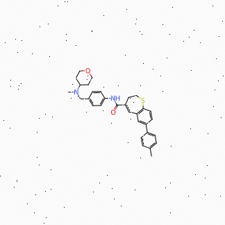 Cc1ccc(-c2ccc3c(c2)C=C(C(=O)Nc2ccc(CN(C)C4CCOCC4)cc2)CCS3)cc1